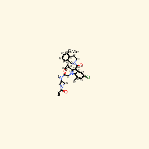 C=CC(=O)N1CC(N(C)C(=O)Cn2c(C3CC3)c(C(=O)N3CCc4c(cccc4OC)C3)c3cc(Cl)cc(C)c32)C1